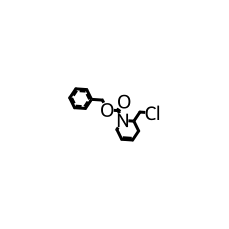 O=C(OCc1ccccc1)N1CC=CCC1CCl